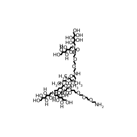 CN(CC(=O)NCCOCCOCCOC(=O)N(C[C@H](O)[C@@H](O)[C@H](O)[C@H](O)CO)C[C@H](O)[C@@H](O)[C@H](O)[C@H](O)CO)C(=O)CN(C)C(=O)CN(C)C(=O)C(CCCN(C[C@H](O)[C@@H](O)[C@H](O)[C@H](O)CO)C[C@H](O)[C@@H](O)[C@H](O)[C@H](O)CO)N(C)C(=O)CN(C)C(=O)CCOCCOCCOCCN